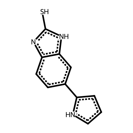 Sc1nc2ccc(-c3ccc[nH]3)cc2[nH]1